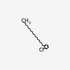 CCCCCCCCCCCCCCCCCCc1ccccc1Cl